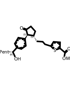 CCCCC[C@@H](O)c1ccc([C@H]2C(=O)CC[C@@H]2CCCc2ccc(C(=O)OC)s2)cc1